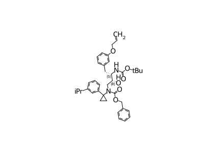 C=CCOc1cccc(C[C@H](NC(=O)OC(C)(C)C)[C@H](O)CN(C(=O)OCc2ccccc2)C2(c3cccc(C(C)C)c3)CC2)c1